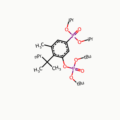 CCCC(C)(C)c1c(C)cc(P(=O)(OC(C)C)OC(C)C)cc1OP(=O)(OC(C)(C)C)OC(C)(C)C